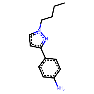 CCCCn1ccc(-c2ccc(N)cc2)n1